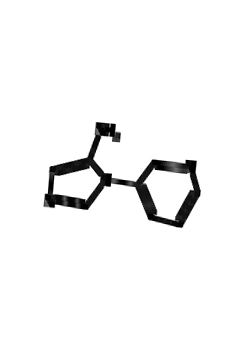 Nc1cncn1-c1cccnc1